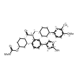 CNC(=O)O[C@H]1CC[C@H](C(=O)N(C[C@H]2CC[C@H](c3ccc(OC)c(C)n3)CC2)c2cccc(-c3coc(C(C)C)n3)c2)CC1